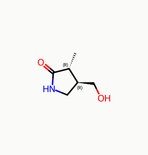 C[C@H]1C(=O)NC[C@@H]1CO